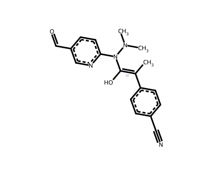 C/C(=C(/O)N(c1ccc(C=O)cn1)N(C)C)c1ccc(C#N)cc1